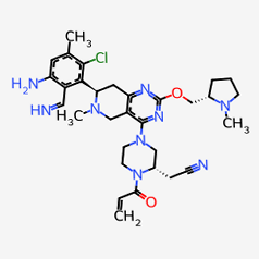 C=CC(=O)N1CCN(c2nc(OC[C@@H]3CCCN3C)nc3c2CN(C)[C@@H](c2c(Cl)c(C)cc(N)c2C=N)C3)C[C@@H]1CC#N